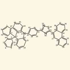 c1ccc(C2(c3ccccc3)c3ccccc3N(c3ccc(-c4nsc(-c5cc6ccccc6c6ccccc56)n4)cc3)c3ccccc32)cc1